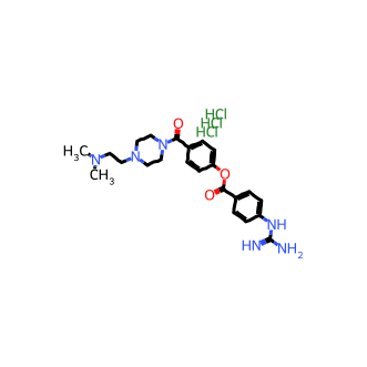 CN(C)CCN1CCN(C(=O)c2ccc(OC(=O)c3ccc(NC(=N)N)cc3)cc2)CC1.Cl.Cl.Cl